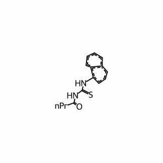 CCCC(=O)NC(=S)Nc1cccc2ccccc12